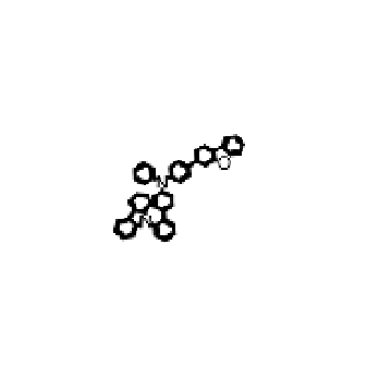 c1ccc(N(c2ccc(-c3ccc4c(c3)oc3ccccc34)cc2)c2ccc(-c3ccccc3-n3c4ccccc4c4ccccc43)cc2)cc1